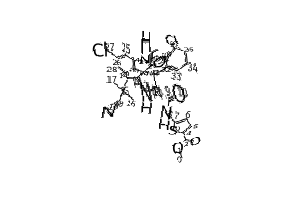 COC(=O)c1ccc(NC(=O)[C@@H]2N[C@@H](CC(C)(C)C#N)[C@@]3(C(=O)Nc4cc(Cl)ccc43)[C@H]2c2cccc(Cl)c2F)s1